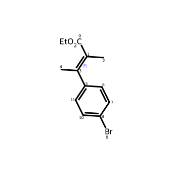 CCOC(=O)/C(C)=C(\C)c1ccc(Br)cc1